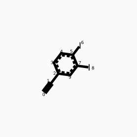 C#Cc1ccc(I)c(I)c1